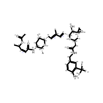 CC(=O)OC(C)/C=C\C(=O)N[C@@H]1C[C@H](C)[C@H](C/C=C(C)/C=C/[C@H]2O[C@H](CC(=O)NCc3ccc(N)c(C(F)(F)F)c3)C[C@@]3(CO3)[C@@H]2O)O[C@@H]1C